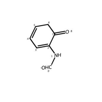 O=[C]NC1=CC=CCC1=O